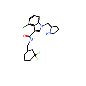 O=C(NCC1CCCC(F)(F)C1)c1cn(CC2CCCN2)c2cccc(Cl)c12